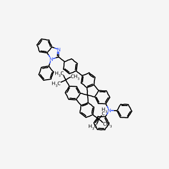 CC(C)(C)c1ccc2c(c1)C1(c3cc(C4=CCC(c5nc6ccccc6n5-c5ccccc5)C=C4)ccc3-c3ccc(N(c4ccccc4)c4ccccc4)cc31)c1cc(C(C)(C)C)ccc1-2